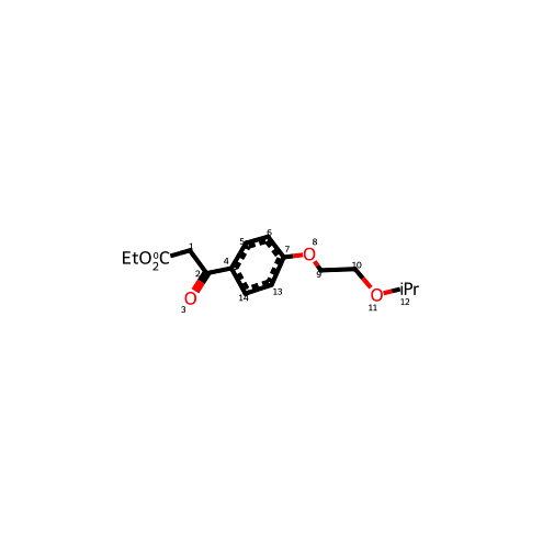 CCOC(=O)CC(=O)c1ccc(OCCOC(C)C)cc1